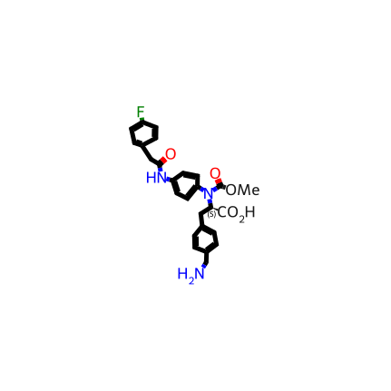 COC(=O)N(c1ccc(NC(=O)Cc2ccc(F)cc2)cc1)[C@@H](Cc1ccc(CN)cc1)C(=O)O